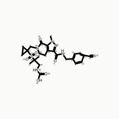 Cn1nc(C(=O)NCc2ccc(C#N)cc2)c2c1C(=O)N(CC1(S(=O)(=O)C(C)(C)CNC(=O)O)CC1)CC2